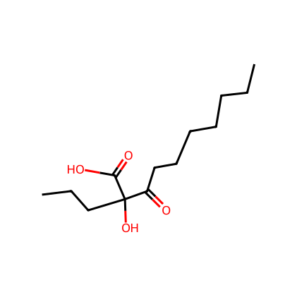 CCCCCCCC(=O)C(O)(CCC)C(=O)O